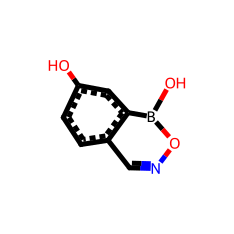 OB1ON=Cc2ccc(O)cc21